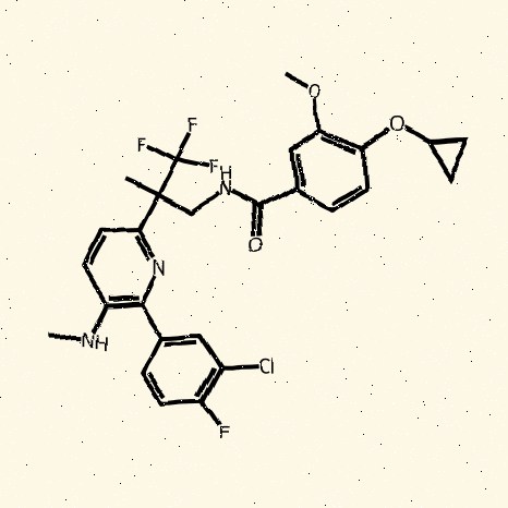 CNc1ccc(C(C)(CNC(=O)c2ccc(OC3CC3)c(OC)c2)C(F)(F)F)nc1-c1ccc(F)c(Cl)c1